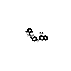 CN(C)c1cc(NC2CCC(CNC(=O)c3c(F)cccc3Cl)CC2)nc2ccccc12